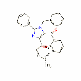 Cc1ccc(-c2nc(-c3ccccc3)n(Cc3ccccc3)c2C(=O)c2ccccc2O)cc1